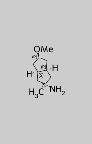 CO[C@@H]1C[C@@H]2C[C@](C)(N)C[C@@H]2C1